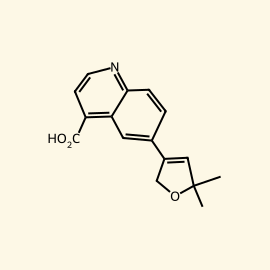 CC1(C)C=C(c2ccc3nccc(C(=O)O)c3c2)CO1